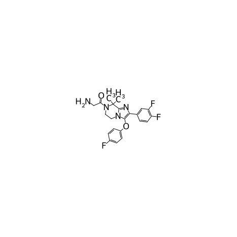 CC1(C)c2nc(-c3ccc(F)c(F)c3)c(Oc3ccc(F)cc3)n2CCN1C(=O)CN